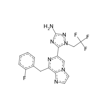 Nc1nc(-c2cn3ccnc3c(Cc3ccccc3F)n2)n(CC(F)(F)F)n1